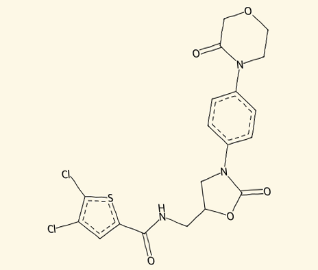 O=C(NCC1CN(c2ccc(N3CCOCC3=O)cc2)C(=O)O1)c1cc(Cl)c(Cl)s1